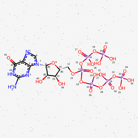 Nc1nc2c(ncn2[C@@H]2O[C@H](COP(=O)(OP(=O)(O)OP(=O)(O)O)OP(=O)(O)OP(=O)(O)OP(=O)(O)O)[C@@H](O)[C@H]2O)c(=O)[nH]1